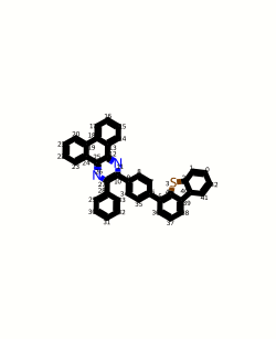 C1=CC2Sc3c(-c4ccc(-c5nc6c7ccccc7c7ccccc7c6nc5-c5ccccc5)cc4)cccc3C2C=C1